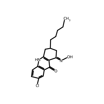 CCCCCC1CC(=NO)c2c([nH]c3ccc(Cl)cc3c2=O)C1